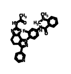 CC(=O)Nc1nc2c(s1)-c1c(c(-c3cccnc3)nn1-c1ccc(NC(=O)c3ccccc3N(C)C)cc1F)CC2